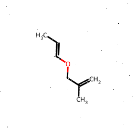 C=C(C)CO/[C]=C/C